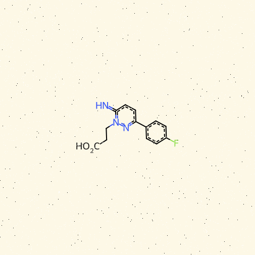 N=c1ccc(-c2ccc(F)cc2)nn1CCC(=O)O